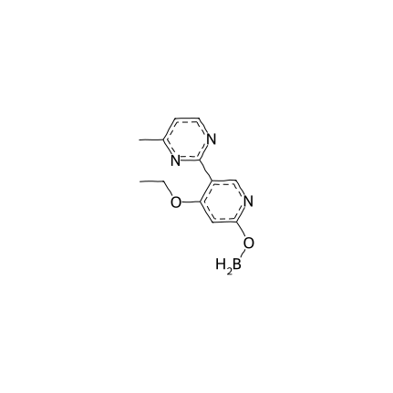 BOc1cc(OCC)c(-c2nccc(C)n2)cn1